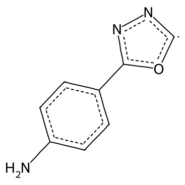 Nc1ccc(-c2nn[c]o2)cc1